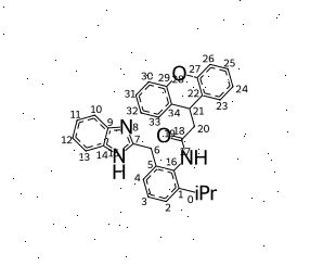 CC(C)c1cccc(Cc2nc3ccccc3[nH]2)c1NC(=O)CC1c2ccccc2Oc2ccccc21